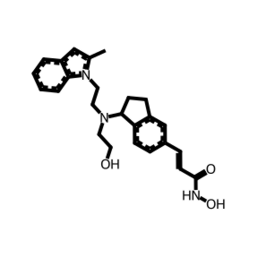 Cc1cc2ccccc2n1CCN(CCO)C1CCc2cc(C=CC(=O)NO)ccc21